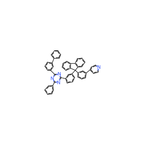 c1ccc(-c2cccc(-c3nc(-c4ccccc4)nc(-c4cccc(C5(c6cccc(-c7ccncc7)c6)c6ccccc6-c6ccccc65)c4)n3)c2)cc1